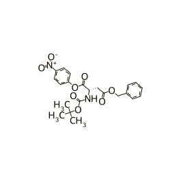 CC(C)(C)OC(=O)N[C@@H](CC(=O)OCc1ccccc1)C(=O)Oc1ccc([N+](=O)[O-])cc1